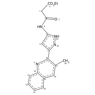 CCOC(=O)CC(=O)Nc1cc(-c2nc3ccccc3cc2C)n[nH]1